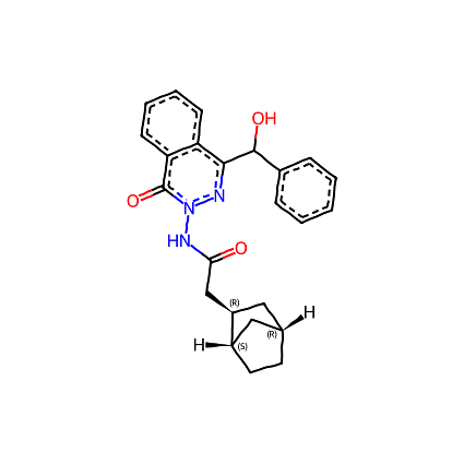 O=C(C[C@H]1C[C@@H]2CC[C@H]1C2)Nn1nc(C(O)c2ccccc2)c2ccccc2c1=O